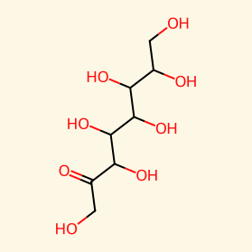 O=C(CO)C(O)C(O)C(O)C(O)C(O)CO